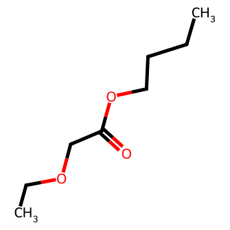 CCCCOC(=O)COCC